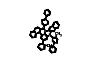 Cc1ccccc1-c1cc2c3c(c1)N(c1cc(-c4ccccc4)ccc1C)c1cc4ccccc4cc1B3N(c1ccc(-c3ccccc3)cc1)c1ccc3ccccc3c1-2